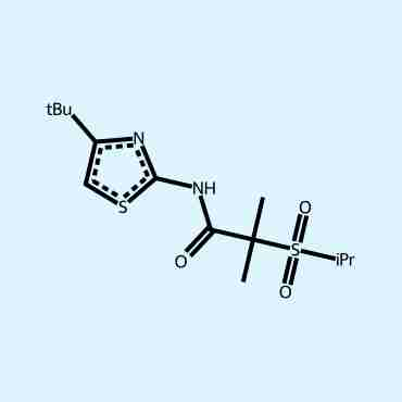 CC(C)S(=O)(=O)C(C)(C)C(=O)Nc1nc(C(C)(C)C)cs1